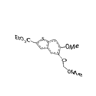 CCOC(=O)c1cc2cc(OCOC)c(OC)cc2s1